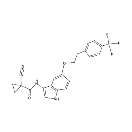 N#CC1(C(=O)Nc2c[nH]c3ccc(OCCc4ccc(C(F)(F)F)cc4)cc23)CC1